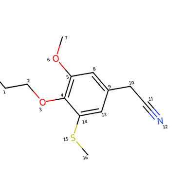 CCCOc1c(OC)cc(CC#N)cc1SC